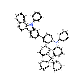 c1ccc(N(c2ccc(-c3ccc4c5ccc6ccccc6c5n(-c5ccccc5)c4c3)cc2)c2ccc3c(c2)C2(c4ccccc4-c4ccccc42)c2ccccc2-3)cc1